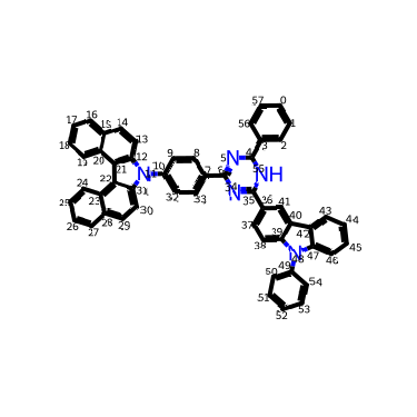 c1ccc(C2N=C(c3ccc(-n4c5ccc6ccccc6c5c5c6ccccc6ccc54)cc3)N=C(c3ccc4c(c3)c3ccccc3n4-c3ccccc3)N2)cc1